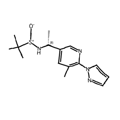 Cc1cc([C@@H](C)N[S+]([O-])C(C)(C)C)cnc1-n1cccn1